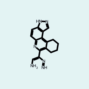 N=N/C(=C\N)c1nc2ccc3[nH]ncc3c2c2c1CCCC2